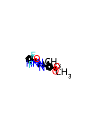 COC(=O)c1ccc(-c2cnc(NC(=O)c3c(F)cccc3F)cn2)c(C)c1